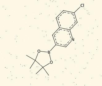 CC1(C)OB(c2cnc3cc(Cl)ccc3c2)OC1(C)C